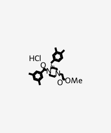 COC(=O)CN1CCN(C(=O)c2cc(C)cc(C)c2)[C@H](Cc2ccc(C)c(C)c2)C1.Cl